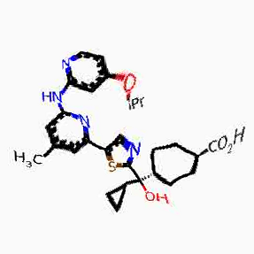 Cc1cc(Nc2cc(OC(C)C)ccn2)nc(-c2cnc(C(O)(C3CC3)[C@H]3CC[C@H](C(=O)O)CC3)s2)c1